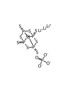 O=P([O-])([O-])[O-].S=P12SP3(=S)SP(=S)(S1)SP(=S)(S2)S3.[Li+].[Li+].[Li+]